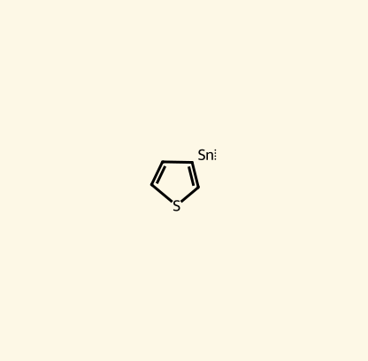 [Sn].c1ccsc1